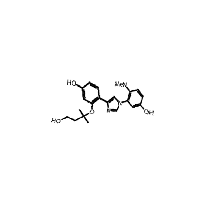 CNc1ccc(O)cc1-n1cnc(-c2ccc(O)cc2OC(C)(C)CCO)c1